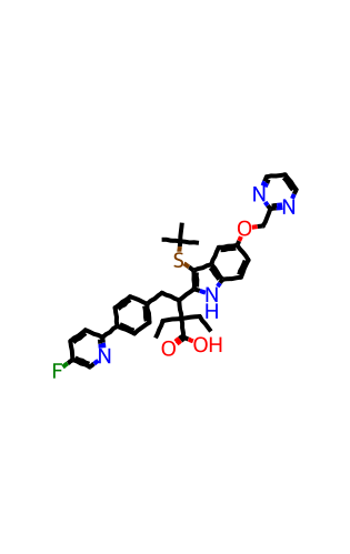 CCC(CC)(C(=O)O)C(Cc1ccc(-c2ccc(F)cn2)cc1)c1[nH]c2ccc(OCc3ncccn3)cc2c1SC(C)(C)C